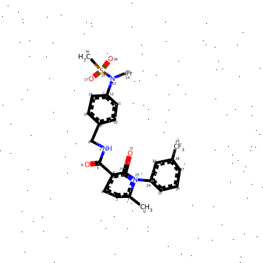 Cc1ccc(C(=O)NCc2ccc(N(C(C)C)S(C)(=O)=O)cc2)c(=O)n1-c1cccc(C(F)(F)F)c1